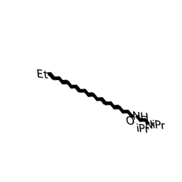 CCC=CCC=CCC=CCC=CCC=CCC=CCCC(=O)NCCN(C(C)C)C(C)C